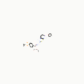 O=C(O)c1ccc(Oc2ccc3nc(NC(=O)C(OC4CCOCC4)c4ccc(S(=O)(=O)C5CC5)cc4)sc3n2)cc1